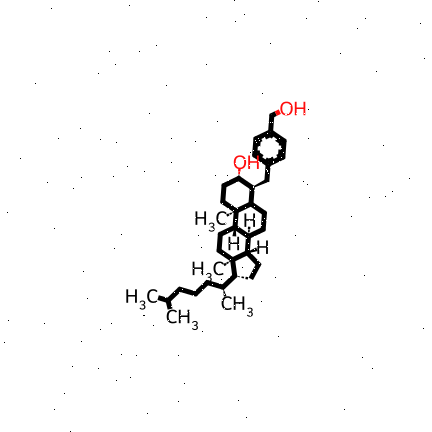 CC(C)CCC[C@@H](C)[C@H]1CC[C@H]2[C@@H]3CCC4[C@H](Cc5ccc(CO)cc5)[C@@H](O)CC[C@]4(C)[C@H]3CC[C@]12C